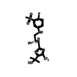 CC(C)[C@H](CNc1ccc(F)c(S(C)(=O)=O)c1)Nc1nc(C(F)(F)F)c(C(C)(C)O)s1